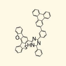 c1ccc(C2N=C(c3cccc(-c4ccc5c6ccccc6c6ccccc6c5c4)c3)N=C(c3cc4c5ccccc5oc4c4c3sc3ccccc34)N2)cc1